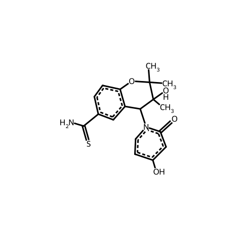 CC1(C)Oc2ccc(C(N)=S)cc2C(n2ccc(O)cc2=O)C1(C)O